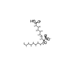 CCCCCCCCC1OC1(CCCCCCCC(=O)O)[N+](=O)[O-]